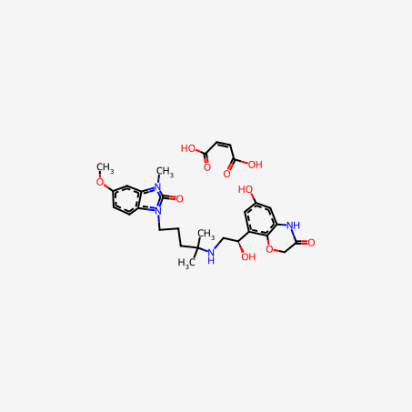 COc1ccc2c(c1)n(C)c(=O)n2CCCC(C)(C)NC[C@H](O)c1cc(O)cc2c1OCC(=O)N2.O=C(O)/C=C\C(=O)O